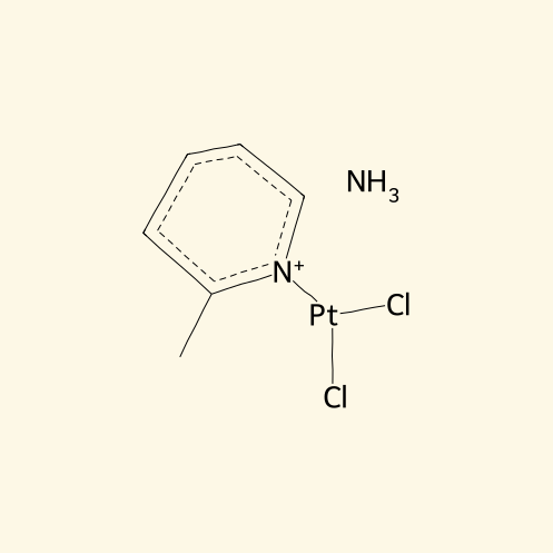 Cc1cccc[n+]1[Pt]([Cl])[Cl].N